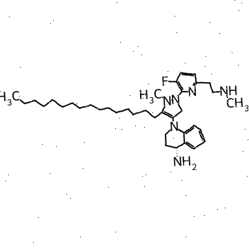 CCCCCCCCCCCCCCCCC1=C(N2CC[C@@H](N)c3ccccc32)CN(c2nc(CCNC)ccc2F)N1C